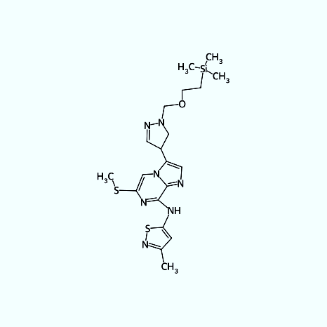 CSc1cn2c(C3C=NN(COCC[Si](C)(C)C)C3)cnc2c(Nc2cc(C)ns2)n1